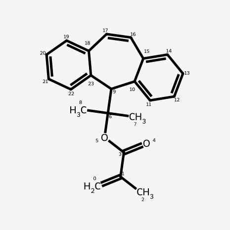 C=C(C)C(=O)OC(C)(C)C1c2ccccc2C=Cc2ccccc21